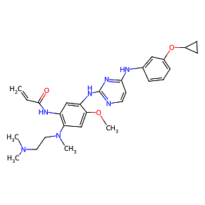 C=CC(=O)Nc1cc(Nc2nccc(Nc3cccc(OC4CC4)c3)n2)c(OC)cc1N(C)CCN(C)C